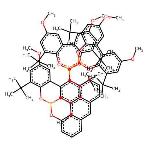 COc1cc(-c2cc(OC)cc(C(C)(C)C)c2Op2oc3c(C(C)(C)C)cc(OC)cc3c3cc(OC)cc(C(C)(C)C)c3o2)c(OP2Oc3cccc4cc5cccc(Op6oc7c(C(C)(C)C)cc(OC)cc7c7cc(OC)cc(C(C)(C)C)c7o6)c5c(c34)O2)c(C(C)(C)C)c1